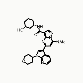 CNc1cc(-c2cn(C3CCOCC3)c3ncccc23)nc2c(C(=O)N[C@H]3CCC[C@H](O)C3)cnn12